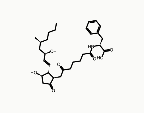 CCCC[C@H](C)C[C@@H](O)/C=C/[C@H]1[C@H](O)CC(=O)[C@@H]1CC(=O)CCCCC(=O)N[C@@H](Cc1ccccc1)C(=O)O